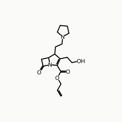 C=CCOC(=O)C1=C(CCO)C(CCN2CCCC2)C2CC(=O)N12